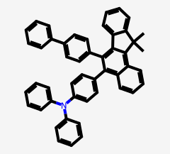 CC1(C)c2ccccc2-c2c(-c3ccc(-c4ccccc4)cc3)c(-c3ccc(N(c4ccccc4)c4ccccc4)cc3)c3ccccc3c21